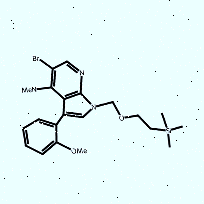 CNc1c(Br)cnc2c1c(-c1ccccc1OC)cn2COCC[Si](C)(C)C